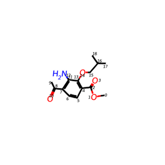 COC(=O)c1ccc(C(C)=O)c(N)c1OCC(C)C